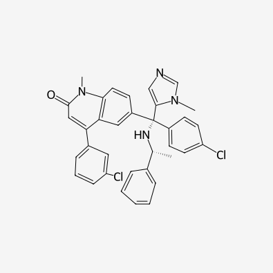 C[C@@H](N[C@](c1ccc(Cl)cc1)(c1ccc2c(c1)c(-c1cccc(Cl)c1)cc(=O)n2C)c1cncn1C)c1ccccc1